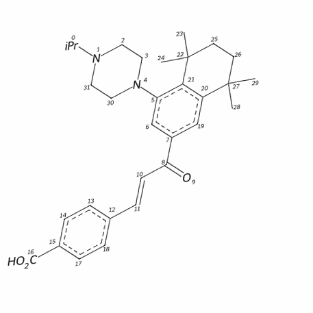 CC(C)N1CCN(c2cc(C(=O)C=Cc3ccc(C(=O)O)cc3)cc3c2C(C)(C)CCC3(C)C)CC1